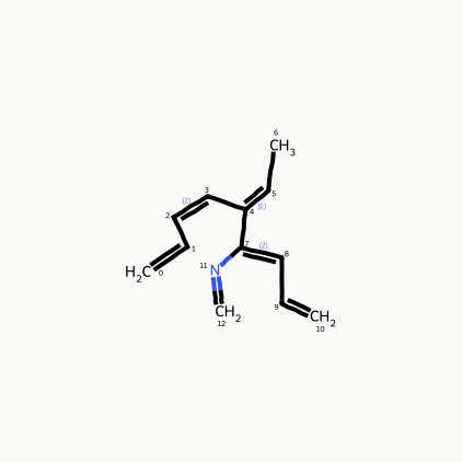 C=C\C=C/C(=C\C)C(=C/C=C)/N=C